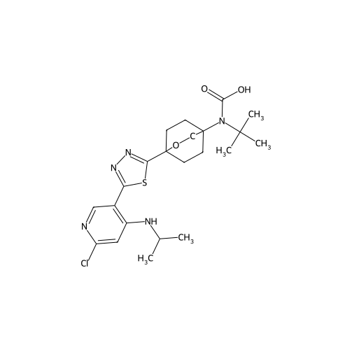 CC(C)Nc1cc(Cl)ncc1-c1nnc(C23CCC(N(C(=O)O)C(C)(C)C)(CC2)CO3)s1